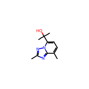 Cc1nc2c(C)ccc(C(C)(C)O)n2n1